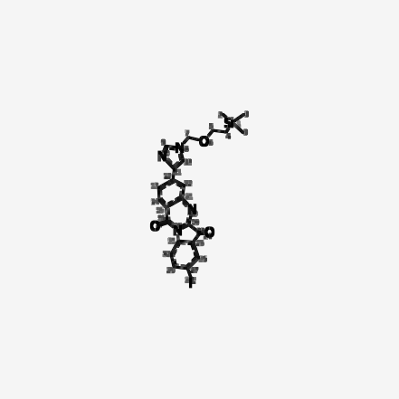 C[Si](C)(C)CCOCn1cnc(-c2ccc3c(=O)n4c(nc3c2)C(=O)c2cc(F)ccc2-4)c1